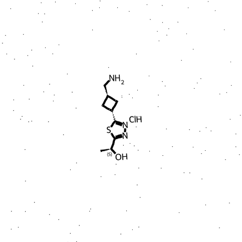 C[C@H](O)c1nnc([C@H]2C[C@H](CN)C2)s1.Cl